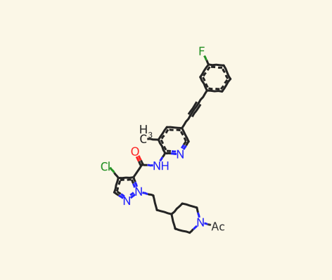 CC(=O)N1CCC(CCn2ncc(Cl)c2C(=O)Nc2ncc(C#Cc3cccc(F)c3)cc2C)CC1